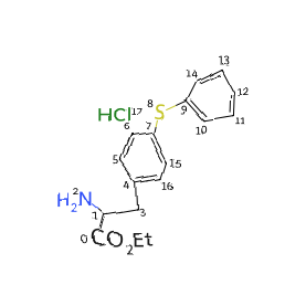 CCOC(=O)C(N)Cc1ccc(Sc2ccccc2)cc1.Cl